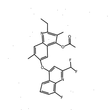 CCc1nc2cc(C)c(Oc3cc(C(F)F)nc4c(F)cccc34)cc2c(OC(C)=O)c1C